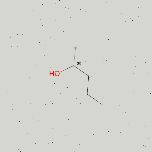 CCC[C@@H](C)O